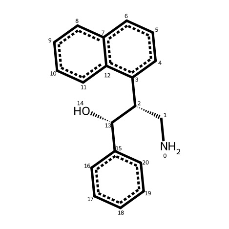 NC[C@@H](c1cccc2ccccc12)[C@@H](O)c1ccccc1